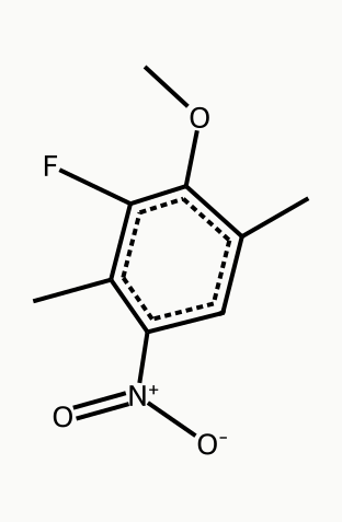 COc1c(C)cc([N+](=O)[O-])c(C)c1F